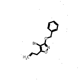 C=CCc1onc(OCc2ccccc2)c1Br